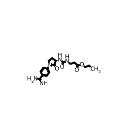 CCCOC(=O)CCNC(=O)N[C@H]1CCN(c2ccc(C(=N)N)cc2)C1=O